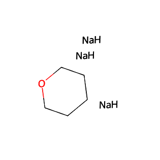 C1CCOCC1.[NaH].[NaH].[NaH]